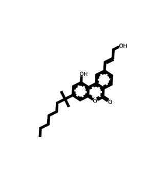 CCCCCCC(C)(C)c1cc(O)c2c(c1)oc(=O)c1ccc(C=CCO)cc12